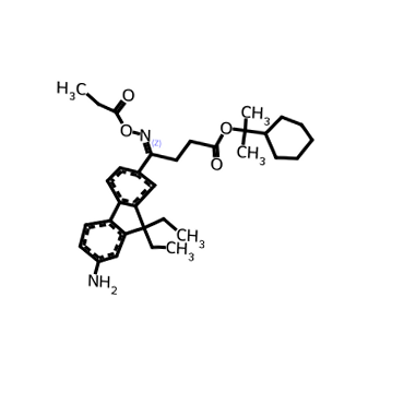 CCC(=O)O/N=C(/CCC(=O)OC(C)(C)C1CCCCC1)c1ccc2c(c1)C(CC)(CC)c1cc(N)ccc1-2